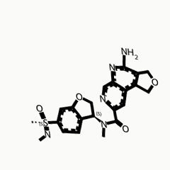 CN=[S@@](C)(=O)c1ccc2c(c1)OC[C@H]2N(C)C(=O)c1cc2c3c(c(N)nc2cn1)COC3